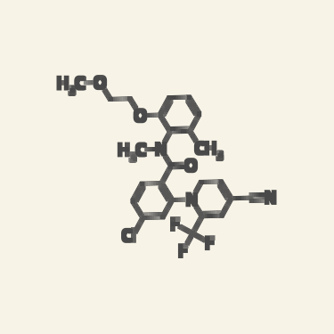 COCCOc1cccc(C)c1N(C)C(=O)c1ccc(Cl)cc1N1CC=C(C#N)C=C1C(F)(F)F